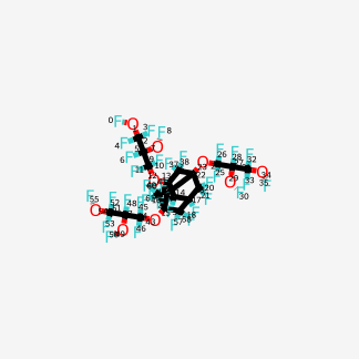 FOC(F)(F)C(F)(OF)C(F)(F)OC12C(F)(F)C3(F)C(F)(F)C(OC(F)(F)C(F)(OF)C(F)(F)OF)(C1(F)F)C(F)(F)C(OC(F)(F)C(F)(OF)C(F)(F)OF)(C3(F)F)C2(F)F